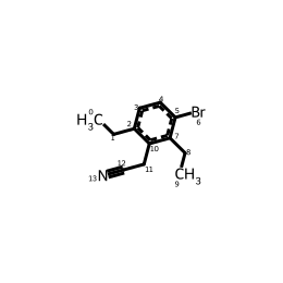 CCc1ccc(Br)c(CC)c1CC#N